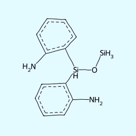 Nc1ccccc1[SiH](O[SiH3])c1ccccc1N